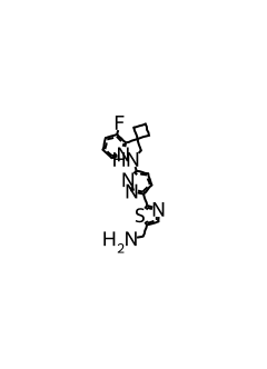 NCc1cnc(-c2ccc(NCC3(c4ncccc4F)CCC3)nn2)s1